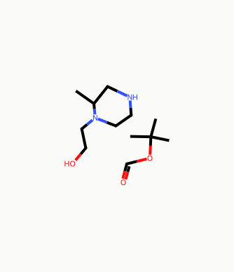 CC(C)(C)OC=O.CC1CNCCN1CCO